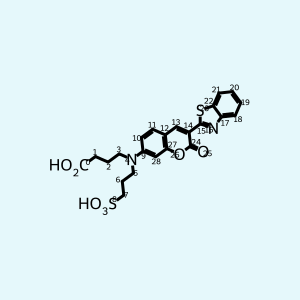 O=C(O)CCCN(CCCS(=O)(=O)O)c1ccc2cc(-c3nc4ccccc4s3)c(=O)oc2c1